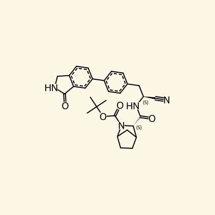 CC(C)(C)OC(=O)N1C2CCC(C2)[C@H]1C(=O)N[C@H](C#N)Cc1ccc(-c2ccc3c(c2)C(=O)NC3)cc1